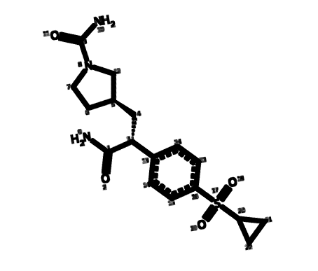 NC(=O)[C@H](C[C@H]1CCN(C(N)=O)C1)c1ccc(S(=O)(=O)C2CC2)cc1